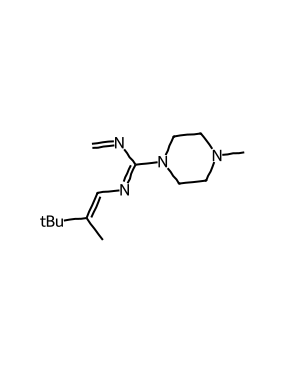 C=N/C(=N\C=C(/C)C(C)(C)C)N1CCN(C)CC1